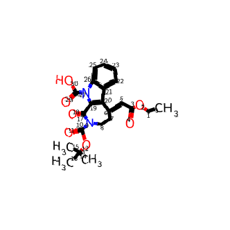 CCOC(=O)C=C1CCN(C(=O)OC(C)(C)C)C(=O)c2c1c1ccccc1n2C(=O)O